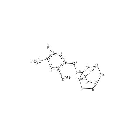 COc1cc(C(=O)O)c(F)cc1OCC12CC3CC(CC(C3)C1)C2